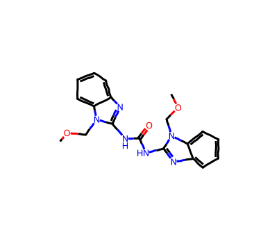 COCn1c(NC(=O)Nc2nc3ccccc3n2COC)nc2ccccc21